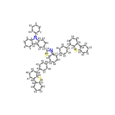 c1ccc(-n2c3ccccc3c3cc(-c4nc5c(-c6ccc(-c7cccc8c7sc7ccccc78)cc6)ccc(-c6ccc(-c7cccc8c7sc7ccccc78)cc6)c5s4)ccc32)cc1